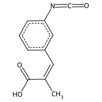 CC(=Cc1cccc(N=C=O)c1)C(=O)O